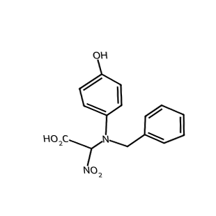 O=C(O)C(N(Cc1ccccc1)c1ccc(O)cc1)[N+](=O)[O-]